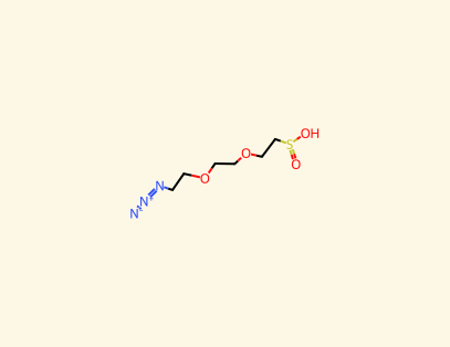 [N-]=[N+]=NCCOCCOCCS(=O)O